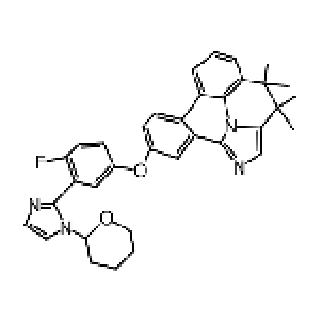 CC1(C)c2cccc3c4ccc(Oc5ccc(F)c(-c6nccn6C6CCCCO6)c5)cc4c4ncc(n4c23)C1(C)C